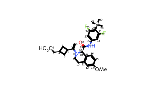 C=C([C@H]1C[C@@H](CC(=O)O)C1)N1CCc2cc(OC)ccc2[C@@H]1C(=O)Nc1cc(F)c([Si](C)(C)C)c(F)c1